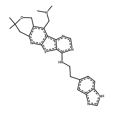 CN(C)Cc1c2c(nc3sc4c(NCCc5ccc6[nH]cnc6c5)ncnc4c13)CC(C)(C)OC2